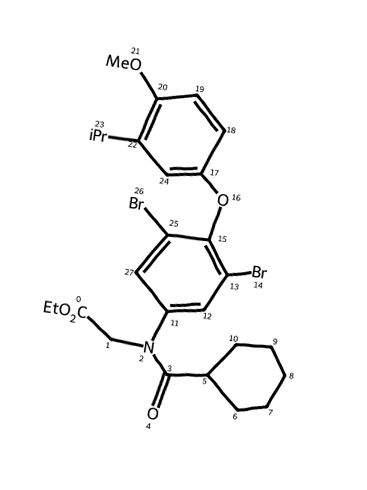 CCOC(=O)CN(C(=O)C1CCCCC1)c1cc(Br)c(Oc2ccc(OC)c(C(C)C)c2)c(Br)c1